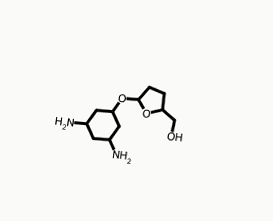 NC1CC(N)CC(OC2CCC(CO)O2)C1